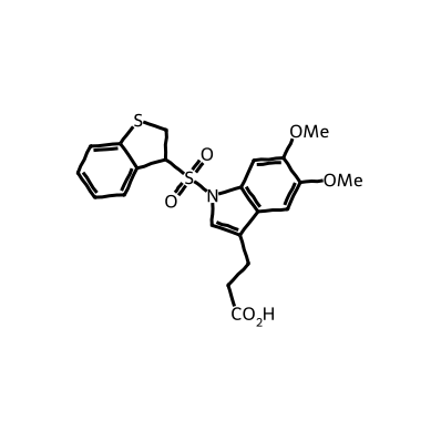 COc1cc2c(CCC(=O)O)cn(S(=O)(=O)C3CSc4ccccc43)c2cc1OC